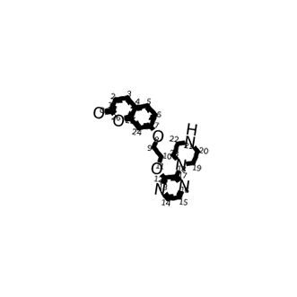 O=c1ccc2ccc(OCCOc3nccnc3N3CCNCC3)cc2o1